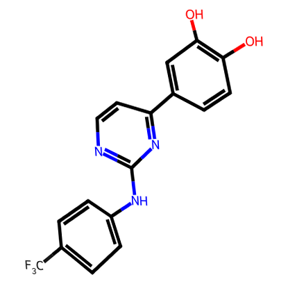 Oc1ccc(-c2ccnc(Nc3ccc(C(F)(F)F)cc3)n2)cc1O